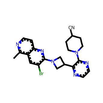 Cc1nccc2nc(N3CC(c4nccnc4N4CCC(C#N)CC4)C3)c(Br)cc12